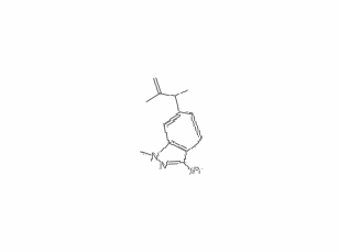 C=C(C)C(C)c1ccc2c(C(C)C)nn(C)c2c1